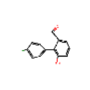 O=Cc1cccc(O)c1-c1ccc(F)cc1